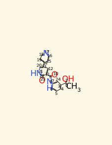 CC(O)c1cccc(NC(=O)c2cc(-c3ccncc3)c[nH]c2=O)c1